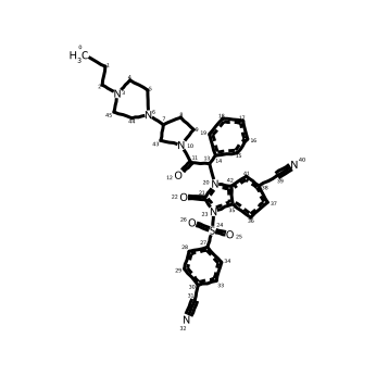 CCCN1CCN(C2CCN(C(=O)C(c3ccccc3)n3c(=O)n(S(=O)(=O)c4ccc(C#N)cc4)c4ccc(C#N)cc43)C2)CC1